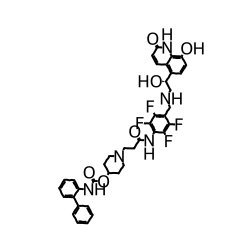 O=C(CCN1CCC(OC(=O)Nc2ccccc2-c2ccccc2)CC1)Nc1c(F)c(F)c(CNC[C@H](O)c2ccc(O)c3[nH]c(=O)ccc23)c(F)c1F